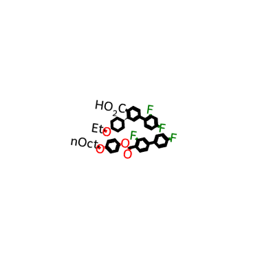 CCCCCCCCOc1ccc(OC(=O)c2ccc(-c3ccc(F)cc3)cc2F)cc1.CCO[C@H]1CC[C@H](c2cc(-c3ccc(F)cc3F)ccc2C(=O)O)CC1